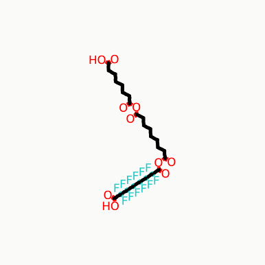 O=C(O)CCCCCCC(=O)OC(=O)CCCCCCCC(=O)OC(=O)C(F)(F)C(F)(F)C(F)(F)C(F)(F)C(F)(F)C(F)(F)C(=O)O